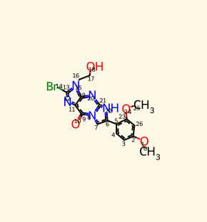 COc1ccc(-c2cn3c(=O)c4nc(Br)n(CCO)c4nc3[nH]2)c(OC)c1